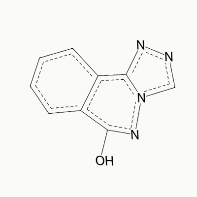 Oc1nn2cnnc2c2ccccc12